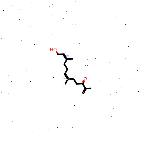 C=C(C)C(=O)CC/C(C)=C\CC/C(C)=C\CO